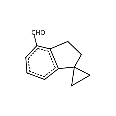 O=Cc1cccc2c1CCC21CC1